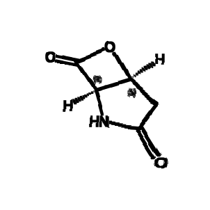 O=C1C[C@@H]2OC(=O)[C@@H]2N1